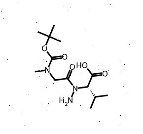 CC(C)[C@@H](C(=O)O)N(N)C(=O)CN(C)C(=O)OC(C)(C)C